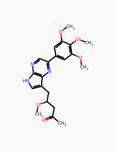 COc1cc(-c2cnc3[nH]cc(CC(CC(C)=O)OC)c3n2)cc(OC)c1OC